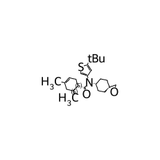 CC1=CC[C@H](C(=O)N(c2csc(C(C)(C)C)c2)[C@H]2CC[C@@]3(CC2)CO3)[C@@H](C)C1